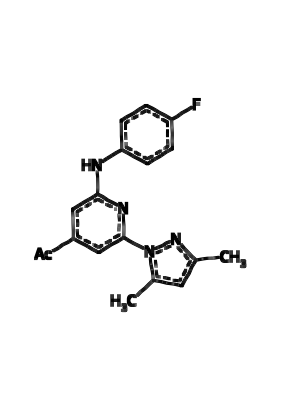 CC(=O)c1cc(Nc2ccc(F)cc2)nc(-n2nc(C)cc2C)c1